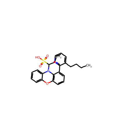 CCCCc1cccnc1-c1cccc2c1N(C(CC)S(=O)(=O)O)c1ccccc1O2